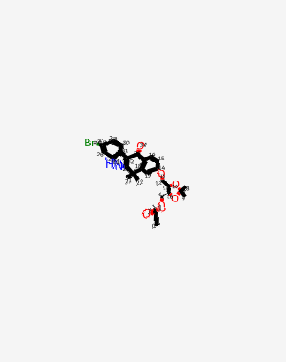 CC(=O)OC[C@H]1OC(C)(C)OC1COc1ccc2c(c1)C(C)(C)c1[nH]c3cc(Br)ccc3c1C2=O